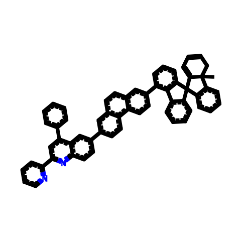 CC12CC=CC=C1C1(c3ccccc3-c3c(-c4ccc5c(ccc6cc(-c7ccc8nc(-c9ccccn9)cc(-c9ccccc9)c8c7)ccc65)c4)cccc31)c1ccccc12